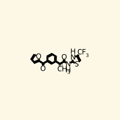 C[C@@H](C(=O)NC1NC(C(F)(F)F)=CS1)c1cccc(C(=O)c2ccco2)c1